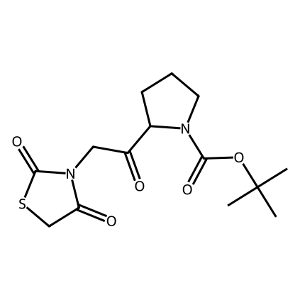 CC(C)(C)OC(=O)N1CCCC1C(=O)CN1C(=O)CSC1=O